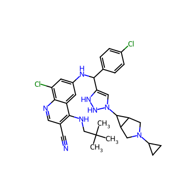 CC(C)(C)CNc1c(C#N)cnc2c(Cl)cc(NC(C3=CN(C4C5CN(C6CC6)CC54)NN3)c3ccc(Cl)cc3)cc12